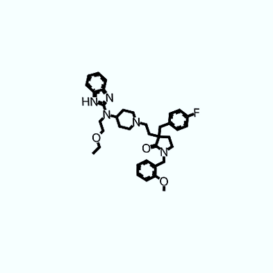 CCOCCN(c1nc2ccccc2[nH]1)C1CCN(CCC2(Cc3ccc(F)cc3)CCN(Cc3ccccc3OC)C2=O)CC1